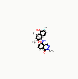 CC[C@@H]1C[C@](O)(C(F)(F)F)[C@@H](Nc2cccc3c(=O)n(C)ncc23)c2ccc(F)c(O)c21